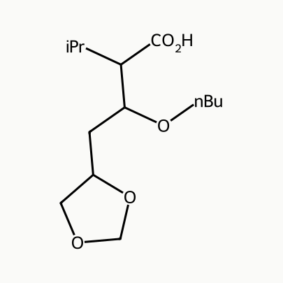 CCCCOC(CC1COCO1)C(C(=O)O)C(C)C